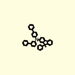 CC1(c2ccccc2)c2ccccc2-c2ccc(N(c3ccc(-c4ccccc4)cc3)c3cccc(-c4ccccc4)c3)cc21